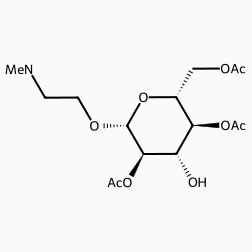 CNCCO[C@@H]1O[C@H](COC(C)=O)[C@@H](OC(C)=O)[C@H](O)[C@H]1OC(C)=O